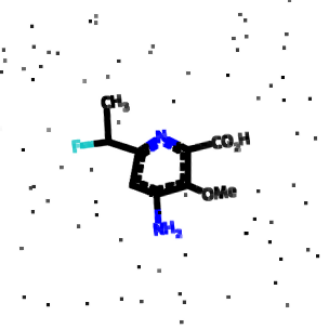 COc1c(N)cc(C(C)F)nc1C(=O)O